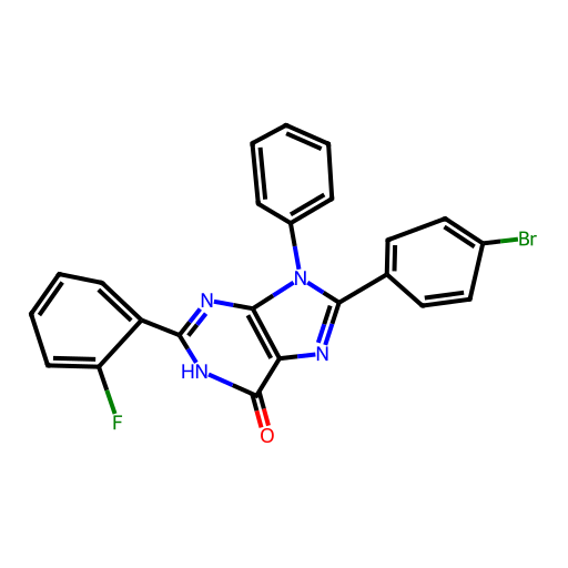 O=c1[nH]c(-c2ccccc2F)nc2c1nc(-c1ccc(Br)cc1)n2-c1ccccc1